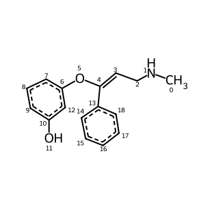 CNCC=C(Oc1cccc(O)c1)c1ccccc1